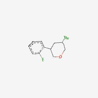 Fc1ccccc1C1[CH]OCC(Br)C1